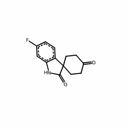 O=C1CCC2(CC1)C(=O)Nc1cc(F)ccc12